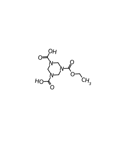 CCOC(=O)N1CN(C(=O)O)CN(C(=O)O)C1